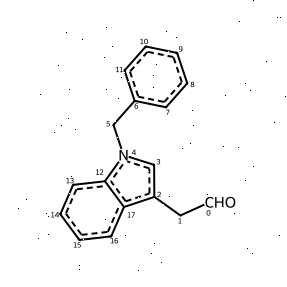 O=CCc1cn(Cc2ccccc2)c2ccccc12